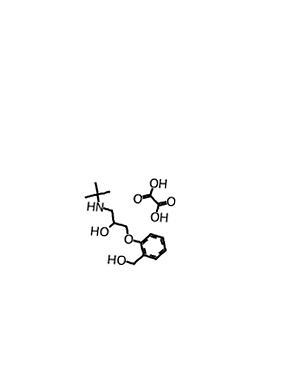 CC(C)(C)NCC(O)COc1ccccc1CO.O=C(O)C(=O)O